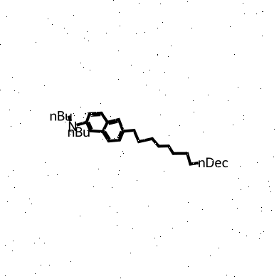 CCCCCCCCCCCCCCCCCCc1ccc2cc(N(CCCC)CCCC)[c]cc2c1